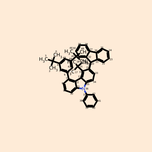 CC(C)(C)c1cc(-c2cccc3c2c2c(C(C)(C)C)c(C4c5ccccc5-c5ccccc54)ccc2n3-c2ccccc2)cc(C(C)(C)C)c1